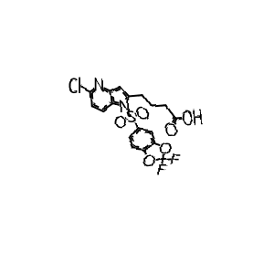 O=C(O)CCCc1cc2nc(Cl)ccc2n1S(=O)(=O)c1ccc2c(c1)OC(F)(F)O2